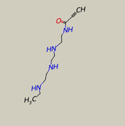 C#CC(=O)NCCNCCNCCNCC